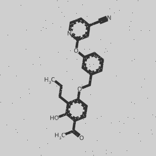 CCCc1c(OCc2cccc(Oc3cc(C#N)ccn3)c2)ccc(C(C)=O)c1O